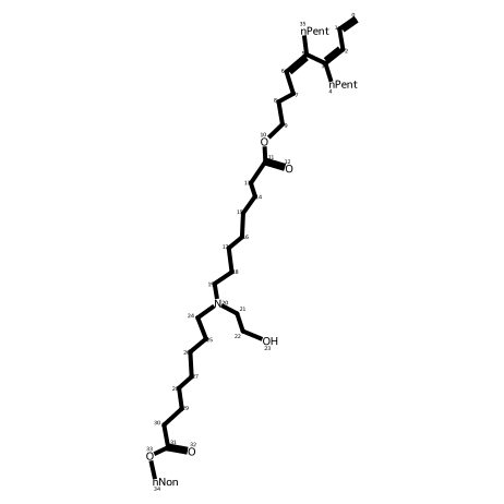 C=C/C=C(CCCCC)\C(=C/CCCOC(=O)CCCCCCCN(CCO)CCCCCCCC(=O)OCCCCCCCCC)CCCCC